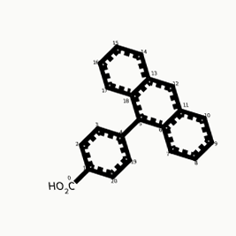 O=C(O)c1ccc(-c2c3ccccc3cc3ccccc23)cc1